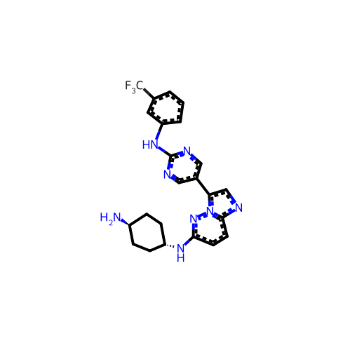 N[C@H]1CC[C@H](Nc2ccc3ncc(-c4cnc(Nc5cccc(C(F)(F)F)c5)nc4)n3n2)CC1